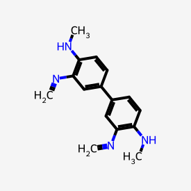 C=Nc1cc(-c2ccc(NC)c(N=C)c2)ccc1NC